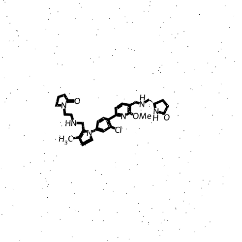 COc1nc(-c2ccc(-n3ccc(C)c3CNCCN3CCCC3=O)cc2Cl)ccc1CNC[C@@H]1CCC(=O)N1